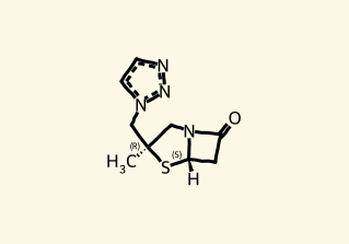 C[C@]1(Cn2ccnn2)CN2C(=O)C[C@@H]2S1